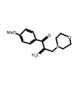 C=C(CN1CCOCC1)C(=O)c1ccc(OC)cc1